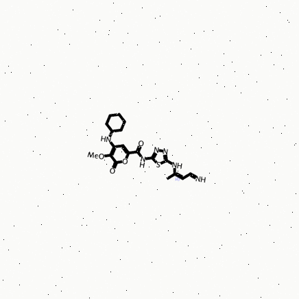 COc1c(NC2CCCCC2)cc(C(=O)Nc2nnc(N/C(C)=C\C=N)s2)oc1=O